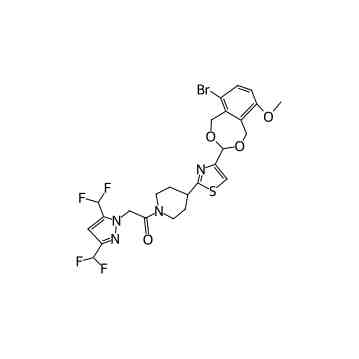 COc1ccc(Br)c2c1COC(c1csc(C3CCN(C(=O)Cn4nc(C(F)F)cc4C(F)F)CC3)n1)OC2